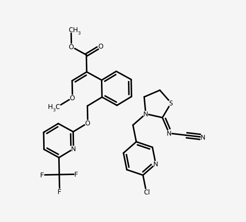 CO/C=C(/C(=O)OC)c1ccccc1COc1cccc(C(F)(F)F)n1.N#C/N=C1\SCCN1Cc1ccc(Cl)nc1